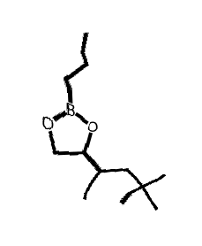 CCCB1OCC(C(C)CC(C)(C)C)O1